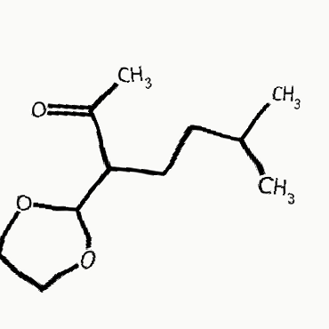 CC(=O)C(CCC(C)C)C1OCCO1